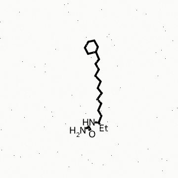 CCC(CCCCCCCCCCCC1CCCCC1)NC(N)=O